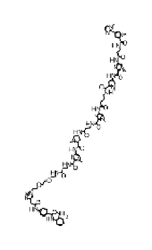 CN1CC(NC(=O)c2nc(NC(=O)CCNC(=O)c3cc(-c4nccn4C)cn3C)cn2C)CC1C(=O)NCCCC(=O)Nc1cn(C)c(C(=O)NCCC(=O)NC2CC(C(=O)Nc3cn(C)c(C(=O)NCCC(=O)NCCOCCOCCn4cc(CC(=O)Nc5ccc(C(=O)Nc6ccccc6N)cc5)nn4)n3)N(C)C2)n1